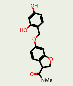 CNC(=O)C1COc2cc(OCc3ccc(O)cc3O)ccc21